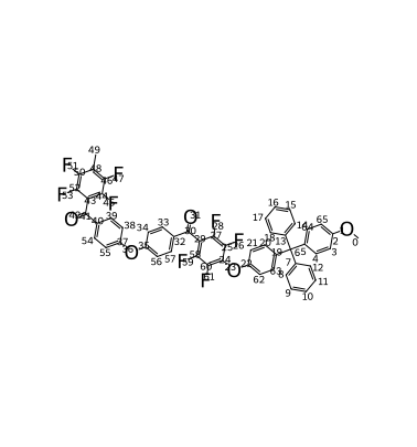 COc1ccc(C(c2ccccc2)(c2ccccc2)c2ccc(Oc3c(F)c(F)c(C(=O)c4ccc(Oc5ccc(C(=O)c6c(F)c(F)c(C)c(F)c6F)cc5)cc4)c(F)c3F)cc2)cc1